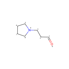 O=CCCN1CCCC1